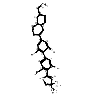 CCC1CCC2CC(c3cc(F)c(-c4cc(F)c(C5=NC(C)(C)CO5)c(F)c4)c(F)c3)CCC2C1